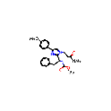 CNC(=O)CCn1cc(-c2ccc(OC)cc2)nc1C(Cc1ccccc1)NC(=O)OC(C)(C)C